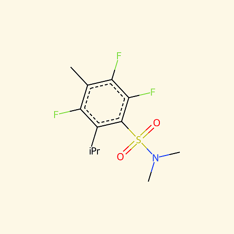 Cc1c(F)c(F)c(S(=O)(=O)N(C)C)c(C(C)C)c1F